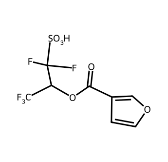 O=C(OC(C(F)(F)F)C(F)(F)S(=O)(=O)O)c1ccoc1